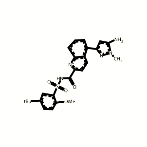 COc1ccc(C(C)(C)C)cc1S(=O)(=O)NC(=O)c1ccc2c(-c3cc(N)n(C)n3)cccc2n1